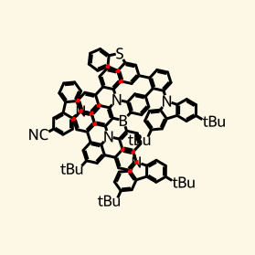 CC(C)(C)c1cc(-c2ccccc2)c(N2c3cc(-n4c5ccc(C(C)(C)C)cc5c5cc(C(C)(C)C)ccc54)ccc3B3c4ccc(-c5c(-c6ccc7c(c6)sc6ccccc67)cccc5-n5c6ccc(C(C)(C)C)cc6c6cc(C(C)(C)C)ccc65)cc4N(c4ccccc4-c4ccccc4)c4cc(-n5c6ccccc6c6cc(C#N)ccc65)cc2c43)c(-c2ccccc2)c1